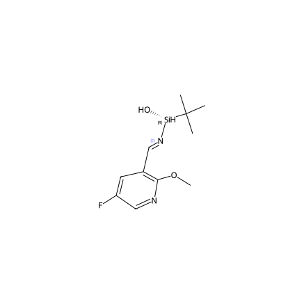 COc1ncc(F)cc1/C=N/[Si@H](O)C(C)(C)C